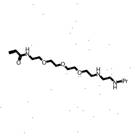 C=CC(=O)NCCOCCOCCOCCNCCNC(C)C